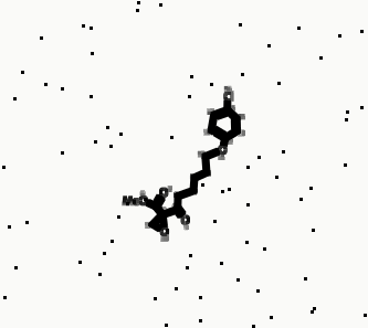 COC(=O)C1(C(=O)CCCCCOc2ccc(Cl)cc2)CO1